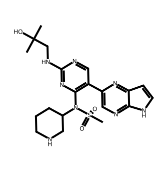 CC(C)(O)CNc1ncc(-c2cnc3[nH]ccc3n2)c(N(C2CCCNC2)S(C)(=O)=O)n1